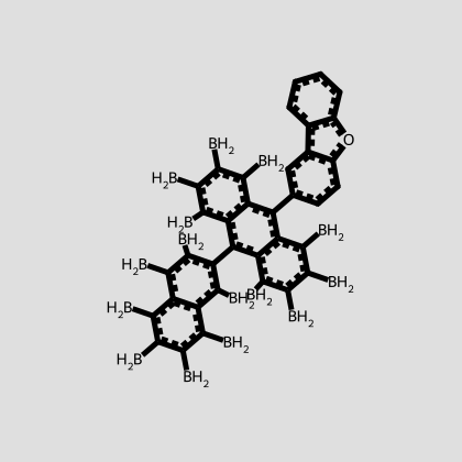 Bc1c(B)c(B)c2c(B)c(-c3c4c(B)c(B)c(B)c(B)c4c(-c4ccc5oc6ccccc6c5c4)c4c(B)c(B)c(B)c(B)c34)c(B)c(B)c2c1B